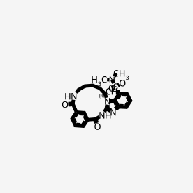 C[C@@H]1CCCCNC(=O)c2cccc(c2)C(=O)Nc2nc3cccc(S(=O)(=O)N(C)C)c3n21